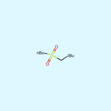 CCCCS(=O)(=O)CC(C)(C)C